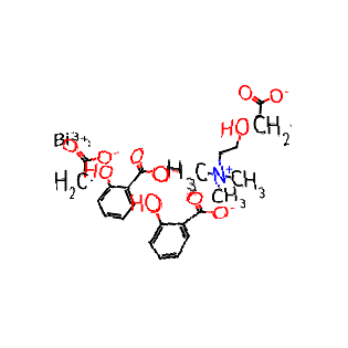 C[N+](C)(C)CCO.O=C([O-])c1ccccc1O.O=C([O-])c1ccccc1O.[Bi+3].[CH2]C(=O)[O-].[CH2]C(=O)[O-]